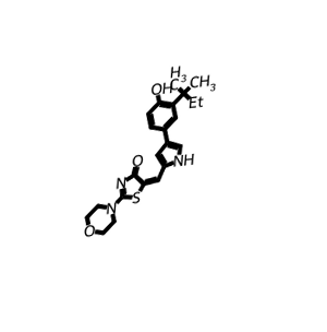 CCC(C)(C)c1cc(-c2c[nH]c(C=C3SC(N4CCOCC4)=NC3=O)c2)ccc1O